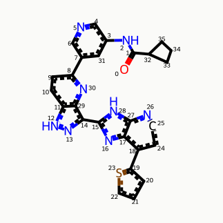 O=C(Nc1cncc(-c2ccc3[nH]nc(-c4nc5c(-c6cccs6)ccnc5[nH]4)c3n2)c1)C1CCC1